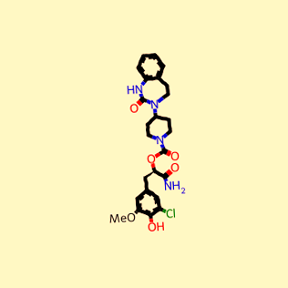 COc1cc(C[C@@H](OC(=O)N2CCC(N3CCc4ccccc4NC3=O)CC2)C(N)=O)cc(Cl)c1O